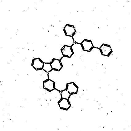 c1ccc(-c2ccc(N(c3ccccc3)c3ccc(-c4ccc5c(c4)c4ccccc4n5-c4cccc(-n5c6ccccc6c6ccccc65)c4)cc3)cc2)cc1